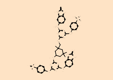 CC1(C)CC(Nc2nc(Nc3ccc(P(=O)(O)O)cc3)nc(Nc3ccc4[nH]c(=O)[nH]c4c3)n2)CC(C)(CNc2nc(Nc3ccc(P(=O)(O)O)cc3)nc(Nc3ccc4[nH]c(=O)[nH]c4c3)n2)C1